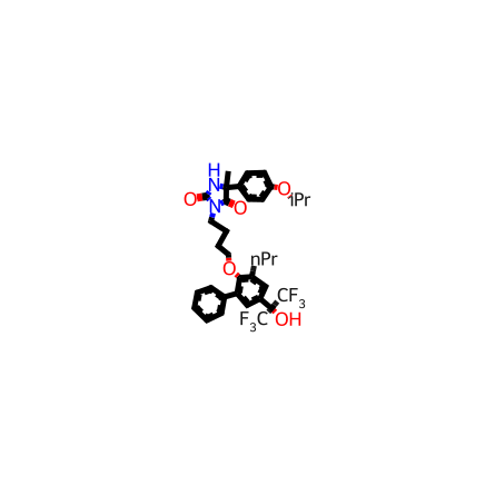 CCCc1cc(C(O)(C(F)(F)F)C(F)(F)F)cc(-c2ccccc2)c1OCCCCN1C(=O)NC(C)(c2ccc(OC(C)C)cc2)C1=O